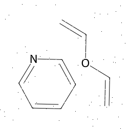 C=COC=C.c1ccncc1